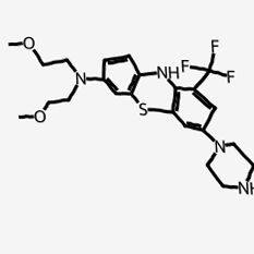 COCCN(CCOC)c1ccc2c(c1)Sc1cc(N3CCNCC3)cc(C(F)(F)F)c1N2